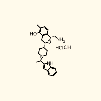 Cc1ccc2c(c1O)C[C@@H](C1CCN(C(C)c3cc4ccccc4[nH]3)CC1)O[C@H]2CN.Cl.Cl